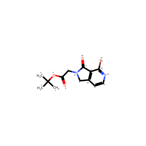 CC(C)(C)OC(=O)CN1Cc2ccnc(Br)c2C1=O